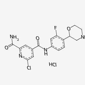 Cl.NC(=O)c1cc(C(=O)Nc2ccc(C3CNCCO3)c(F)c2)cc(Cl)n1